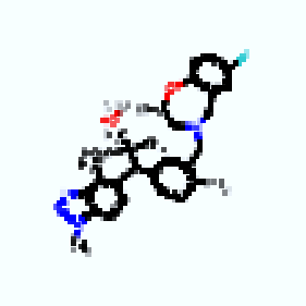 CC[C@@H]1CN(Cc2cc(C(c3ccc4c(nnn4C)c3C)C(C)(C)C(=O)O)ccc2C)Cc2cc(F)ccc2O1.O=CO